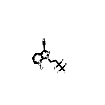 N#Cc1nn(CCC(F)(F)C(F)(F)F)c2c1ccc[n+]2[O-]